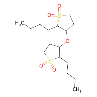 CCCCC1C(OC2CCS(=O)(=O)C2CCCC)CCS1(=O)=O